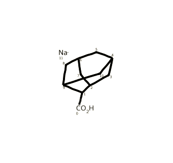 O=C(O)C1C2CC3CC(C2)CC1C3.[Na]